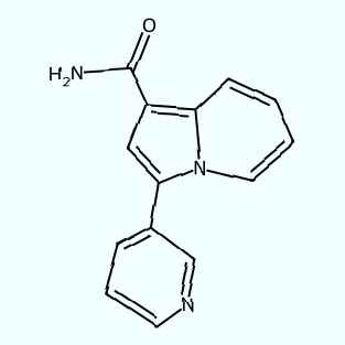 NC(=O)c1cc(-c2cccnc2)n2ccccc12